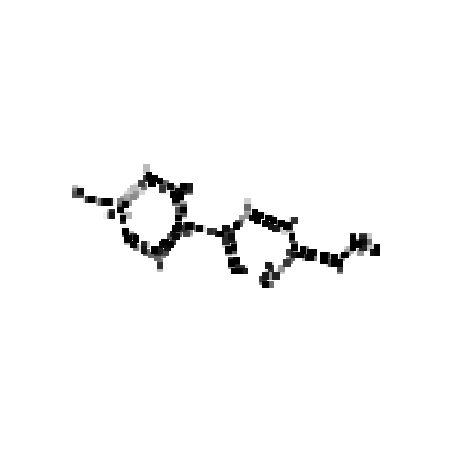 C=C(/C=C\C(Cl)=C/N)c1ccc(C)cc1